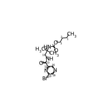 CCCCOC(=O)NC(C)(C)CNC(=O)c1cncc(Br)n1